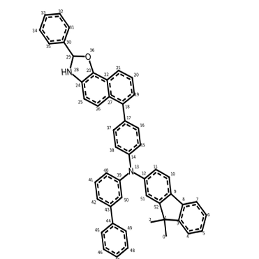 CC1(C)c2ccccc2-c2ccc(N(c3ccc(-c4cccc5c6c(ccc45)NC(c4ccccc4)O6)cc3)c3cccc(-c4ccccc4)c3)cc21